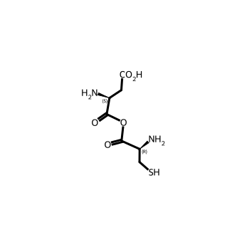 N[C@@H](CS)C(=O)OC(=O)[C@@H](N)CC(=O)O